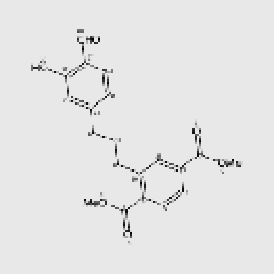 COC(=O)c1ccc(C(=O)OC)c(CCCc2ccc(C=O)c(O)c2)c1